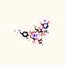 CC(C)OC(=O)C(C)NP(=O)(OC[C@@]1(CF)O[C@@H](n2ccc(=O)[nH]c2=O)[C@](C)(O)[C@@H]1O)Oc1ccc(CN)cc1